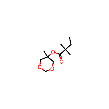 CCC(C)(C)C(=O)OC1(C)COCOC1